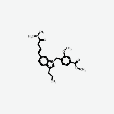 CCCc1cn(Cc2ccc(C(=O)OC)cc2OC)c2cc(C=CCC(=O)N(C)C)ccc12